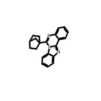 c1ccc2c(c1)nc(C13CCC(CC1)C3)n1c3ccccc3nc21